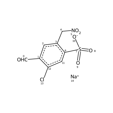 O=Cc1cc(C[N+](=O)[O-])c(S(=O)(=O)[O-])cc1Cl.[Na+]